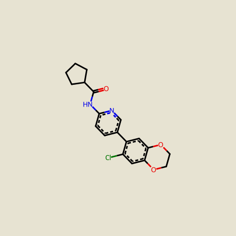 O=C(Nc1ccc(-c2cc3c(cc2Cl)OCCO3)cn1)C1CCCC1